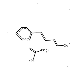 C=C(CCCC)C(=O)O.N#CC=CC=Cc1ccccc1